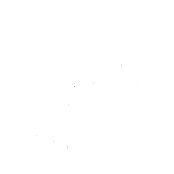 Cn1cnc2ccc(N3Cc4ccc(OCC(F)(F)F)nc4N(c4ccc(OC(F)F)cc4)C3=O)cc21